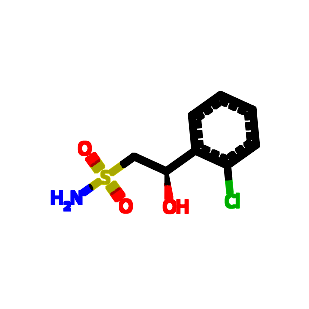 NS(=O)(=O)C[C@H](O)c1ccccc1Cl